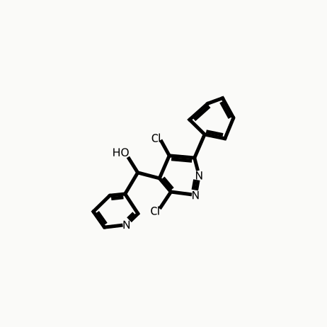 OC(c1cccnc1)c1c(Cl)nnc(-c2ccccc2)c1Cl